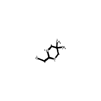 CC1(C)COC(CCl)OC1